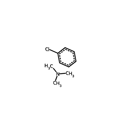 CN(C)C.Clc1ccccc1